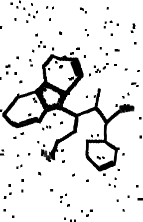 CNC(C1CC=CCC1)C(C)C(CCN)n1c2c(c3c1C=CCC3)CCC=C2